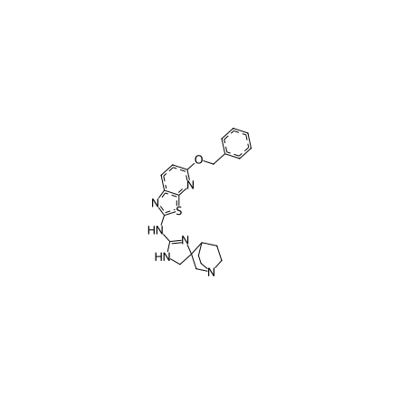 c1ccc(COc2ccc3nc(NC4=NC5(CN4)CN4CCC5CC4)sc3n2)cc1